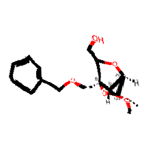 CO[C@H]1[C@H]2OC(CO)[C@]1(COCc1ccccc1)O[C@H]2C